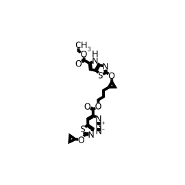 CCOC(=O)c1cc2sc(OC3CC3CCCOC(=O)/C(=C/c3cnc(OC4CC4)s3)N=[N+]=[N-])nc2[nH]1